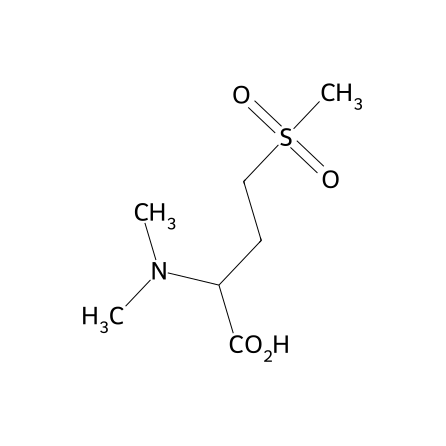 CN(C)C(CCS(C)(=O)=O)C(=O)O